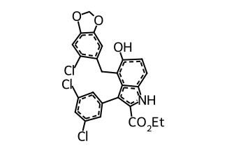 CCOC(=O)c1[nH]c2ccc(O)c(Cc3cc4c(cc3Cl)OCO4)c2c1-c1cc(Cl)cc(Cl)c1